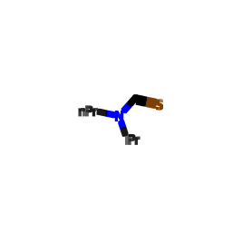 CCCN(C=S)C(C)C